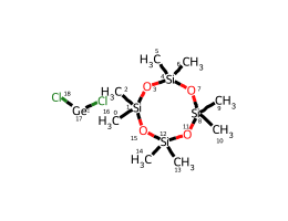 C[Si]1(C)O[Si](C)(C)O[Si](C)(C)O[Si](C)(C)O1.[Cl][Ge][Cl]